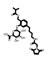 CC(C)C(=O)OCc1ccc(CCCCNC(=O)CN2C(=O)C=CC2=O)cc1O[C@@H]1O[C@H](C(=O)O)[C@@H](O)[C@H](O)[C@H]1O